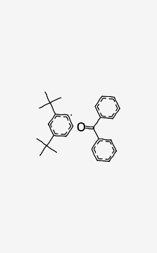 CC(C)(C)c1[c]ccc(C(C)(C)C)c1.O=C(c1ccccc1)c1ccccc1